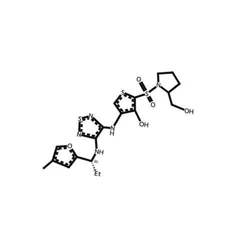 CC[C@@H](Nc1nsnc1Nc1csc(S(=O)(=O)N2CCCC2CO)c1O)c1cc(C)co1